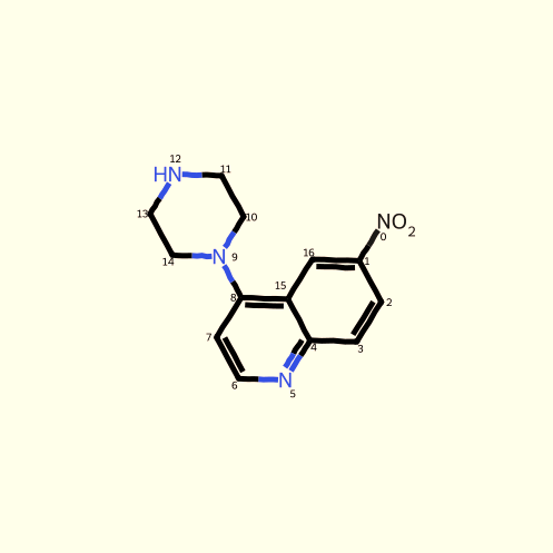 O=[N+]([O-])c1ccc2nccc(N3CCNCC3)c2c1